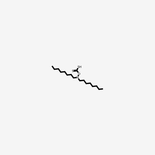 CCCCCCCCN(CCCCCCCC)OC(=S)S